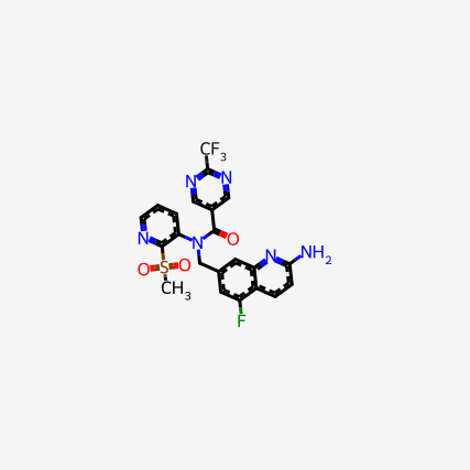 CS(=O)(=O)c1ncccc1N(Cc1cc(F)c2ccc(N)nc2c1)C(=O)c1cnc(C(F)(F)F)nc1